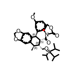 COc1cccc([C@@H]2c3cc4c(cc3[C@H](C)[C@@H](CO[Si](C(C)C)(C(C)C)C(C)C)[C@H]2C(=O)N2CCOC2=O)OCO4)c1